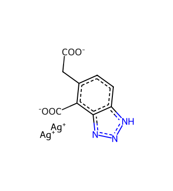 O=C([O-])Cc1ccc2[nH]nnc2c1C(=O)[O-].[Ag+].[Ag+]